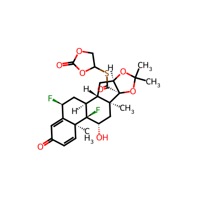 CC1(C)O[C@@H]2C[C@H]3[C@@H]4C[C@H](F)C5=CC(=O)C=C[C@]5(C)[C@@]4(F)[C@@H](O)C[C@]3(C)[C@]2(C(=O)SC2COC(=O)O2)O1